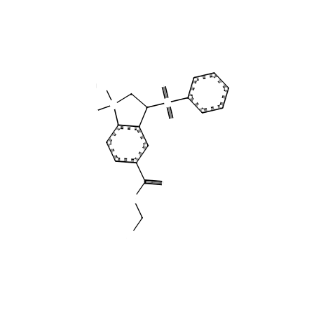 CCOC(=O)c1ccc2c(c1)C(S(=O)(=O)c1ccccc1)CS2(O)O